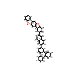 c1ccc2c(c1)oc1cc3c(cc12)oc1ccc(-c2ccc4cc(-c5ccc6c7ccccc7c7ccccc7c6c5)ccc4c2)cc13